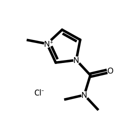 CN(C)C(=O)n1cc[n+](C)c1.[Cl-]